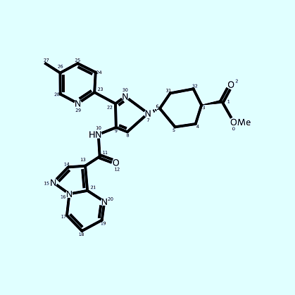 COC(=O)[C@H]1CC[C@H](n2cc(NC(=O)c3cnn4cccnc34)c(-c3ccc(C)cn3)n2)CC1